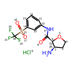 Cl.N[C@@H]1CCO[C@@H]1C(=O)Nc1cccc(S(=O)(=O)C(F)(F)F)c1